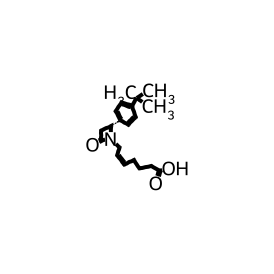 CC(C)(C)c1ccc([C@H]2CC(=O)N2C/C=C\CCCC(=O)O)cc1